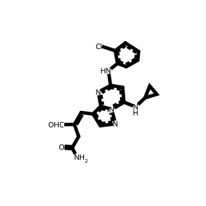 NC(=O)C/C(C=O)=C\c1cnn2c(NC3CC3)cc(Nc3ccccc3Cl)nc12